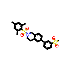 Cc1cc(C)c(S(=O)(=O)N2CCc3cc(-c4cccc(S(C)(=O)=O)c4)ccc3C2)c(C)c1